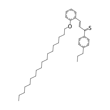 CCCCCCCCCCCCCCCCCCOc1ccccc1C=CC(=S)c1ccc(CCC)cc1